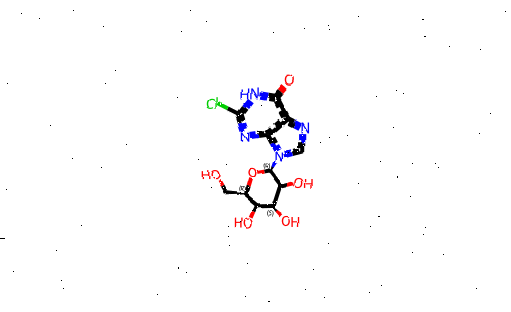 O=c1[nH]c(Cl)nc2c1ncn2[C@@H]1O[C@H](CO)C(O)[C@H](O)C1O